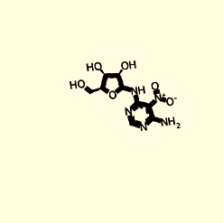 Nc1ncnc(NC2O[C@@H](CO)[C@H](O)[C@@H]2O)c1[N+](=O)[O-]